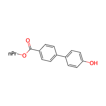 CCCOC(=O)c1ccc(-c2ccc(O)cc2)cc1